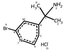 CC(C)(N)c1ccnc(Br)c1.Cl